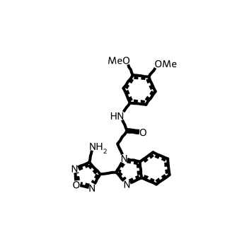 COc1ccc(NC(=O)Cn2c(-c3nonc3N)nc3ccccc32)cc1OC